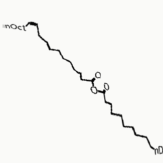 CCCCCCCC/C=C\CCCCCCCCCC(=O)OC(=O)CCCCCCCCCCCCCCCCCCC